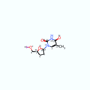 Cc1cn([C@H]2CC[C@@H](COI)O2)c(=O)[nH]c1=O